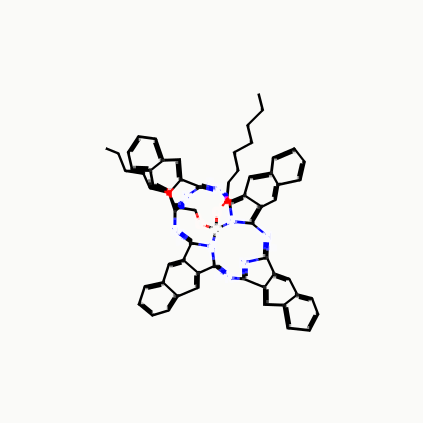 CCCCCCCCO[Si]1(OCCCCCCCC)n2c3c4cc5ccccc5cc4c2/N=C2N=C(/N=c4/c5cc6ccccc6cc5/c(n41)=N/C1=NC(=N\3)/c3cc4ccccc4cc31)c1cc3ccccc3cc1\2